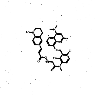 CC(=O)N1CCCc2cc(C=CC(=O)ONCC(=O)N(C)c3ccc(Cl)c(COc4cccc5c(N(C)C)cc(C)nc45)c3Cl)ccc21